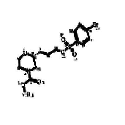 CC(C)(C)OC(=O)N1CCO[C@H](CCCOS(=O)(=O)c2ccc(Br)cc2)C1